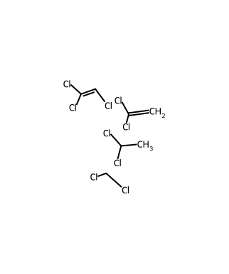 C=C(Cl)Cl.CC(Cl)Cl.ClC=C(Cl)Cl.ClCCl